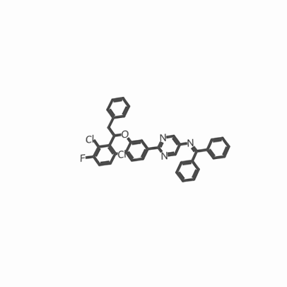 Fc1ccc(Cl)c(C(Cc2ccccc2)Oc2cccc(-c3ncc(N=C(c4ccccc4)c4ccccc4)cn3)c2)c1Cl